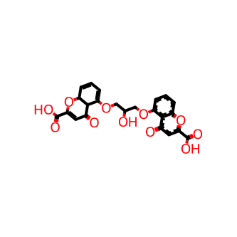 O=C(O)C1=CC(=O)C2C(OCC(O)COc3cccc4oc(C(=O)O)cc(=O)c34)=CC=CC2O1